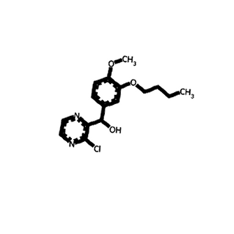 CCCCOc1cc(C(O)c2nccnc2Cl)ccc1OC